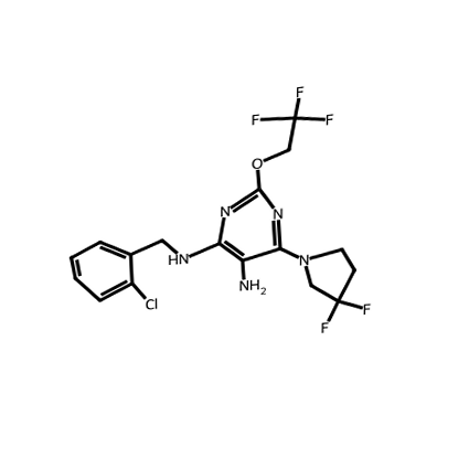 Nc1c(NCc2ccccc2Cl)nc(OCC(F)(F)F)nc1N1CCC(F)(F)C1